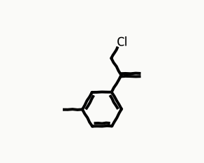 C=C(CCl)c1cccc(C)c1